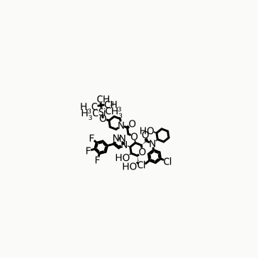 CC(C)(C)[Si](C)(C)OC1CCN(C(=O)CO[C@@H]2[C@@H](n3cc(-c4cc(F)c(F)c(F)c4)nn3)[C@@H](O)[C@@H](CO)O[C@H]2C(=O)N(c2cc(Cl)cc(Cl)c2)[C@H]2CCCC[C@@H]2O)CC1